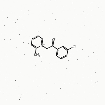 Cc1cccc[n+]1CC(=O)c1cccc(Cl)c1